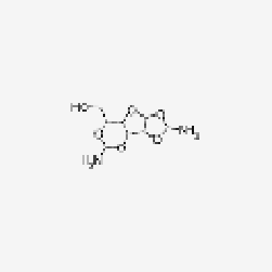 NC1OC2OC3C(CO)OC(N)OC3C2O1